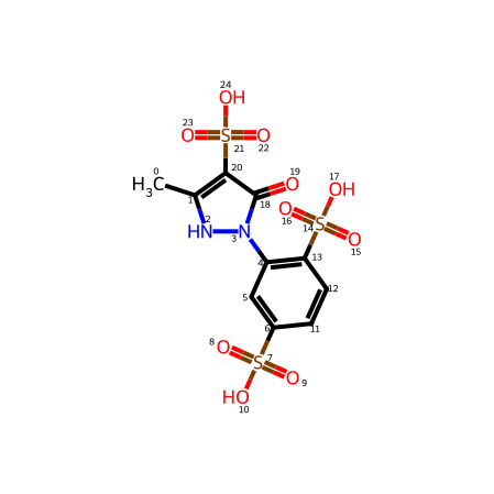 Cc1[nH]n(-c2cc(S(=O)(=O)O)ccc2S(=O)(=O)O)c(=O)c1S(=O)(=O)O